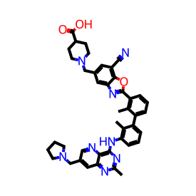 Cc1nc(Nc2cccc(-c3cccc(-c4nc5cc(CN6CCC(C(=O)O)CC6)cc(C#N)c5o4)c3C)c2C)c2ncc(CN3CCCC3)cc2n1